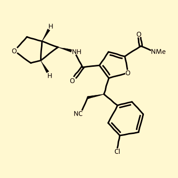 CNC(=O)c1cc(C(=O)N[C@H]2[C@@H]3COC[C@@H]32)c([C@H](CC#N)c2cccc(Cl)c2)o1